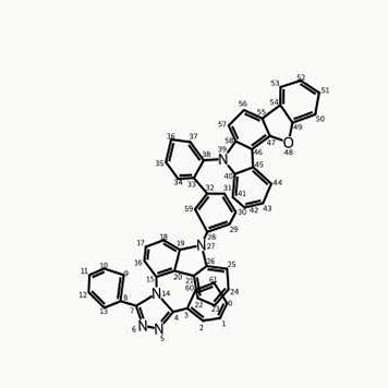 c1ccc(-c2nnc(-c3ccccc3)n2-c2cccc3c2c2ccccc2n3-c2cccc(-c3ccccc3-n3c4ccccc4c4c5oc6ccccc6c5ccc43)c2)cc1